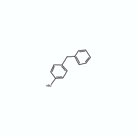 CCCCc1ccc([CH]c2ccccc2)cc1